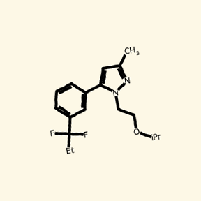 CCC(F)(F)c1cccc(-c2cc(C)nn2CCOC(C)C)c1